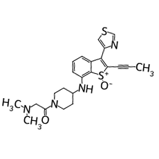 CC#Cc1c(-c2cscn2)c2cccc(NC3CCN(C(=O)CN(C)C)CC3)c2[s+]1[O-]